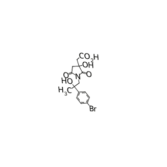 CC(O)(CN1C(=O)CC(O)(CC(=O)O)C1=O)c1ccc(Br)cc1